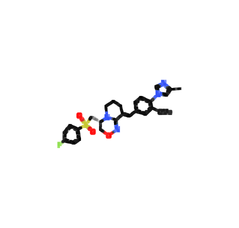 COc1cc(/C=C2\CCCN3C2=NOC[C@@H]3CS(=O)(=O)c2ccc(F)cc2)ccc1-n1cnc(C)c1